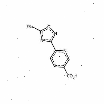 CC(C)(C)c1nc(-c2ccc(C(=O)O)cn2)no1